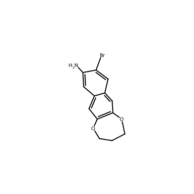 Nc1cc2cc3c(cc2cc1Br)OCCCO3